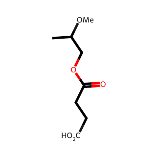 COC(C)COC(=O)CCC(=O)O